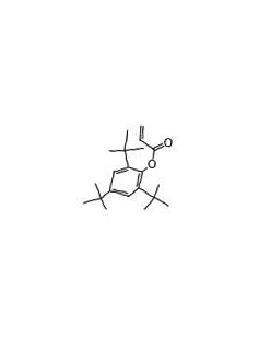 C=CC(=O)Oc1c(C(C)(C)C)cc(C(C)(C)C)cc1C(C)(C)C